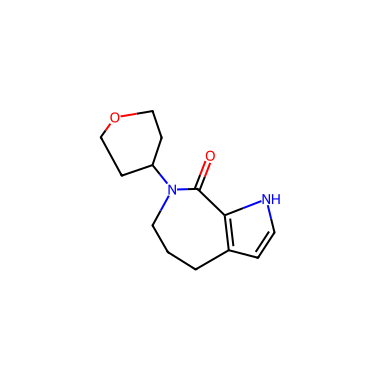 O=C1c2[nH]ccc2CCCN1C1CCOCC1